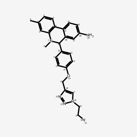 Cc1ccc2c(c1)N(C)C(c1ccc(OCc3cn(CC[18F])nn3)cc1)c1cc(N)ccc1-2